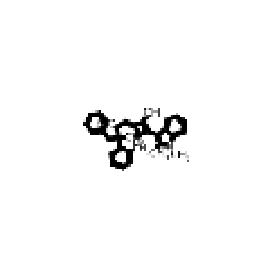 C=C(/C=C1\C(=O)C(c2c(C)n(C)c3ccccc23)=C1O)C(C)(Cc1ccccc1)c1ccccc1C